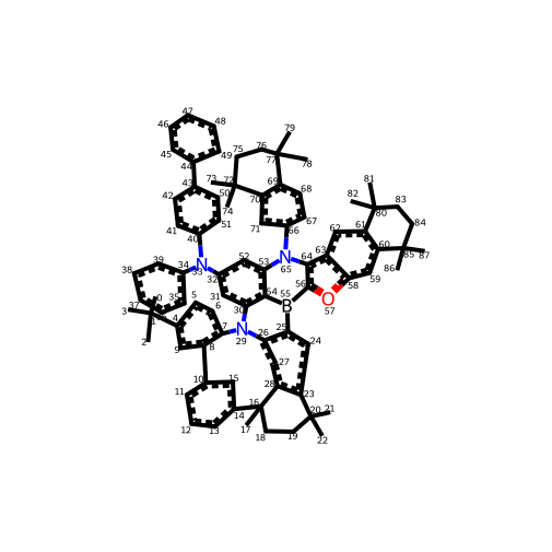 CC(C)(C)c1ccc2c(c1)-c1cccc(c1)C1(C)CCC(C)(C)c3cc4c(cc31)N2c1cc(N(c2ccccc2)c2ccc(-c3ccccc3)cc2)cc2c1B4c1oc3cc4c(cc3c1N2c1ccc2c(c1)C(C)(C)CCC2(C)C)C(C)(C)CCC4(C)C